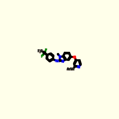 CC(=O)Nc1cc(Oc2ccc3c(c2)nc(Nc2ccc(C(F)(F)C(F)(F)F)cc2)n3C)ccn1